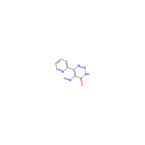 C=Nc1c(-c2ccccn2)nn[nH]c1=O